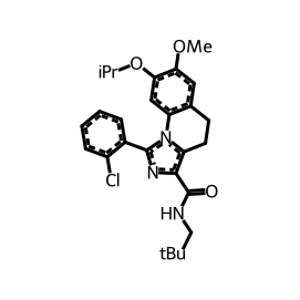 COc1cc2c(cc1OC(C)C)-n1c(-c3ccccc3Cl)nc(C(=O)NCC(C)(C)C)c1CC2